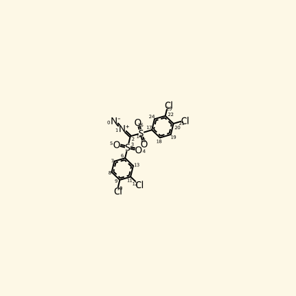 [N-]=[N+]=C(S(=O)(=O)c1ccc(Cl)c(Cl)c1)S(=O)(=O)c1ccc(Cl)c(Cl)c1